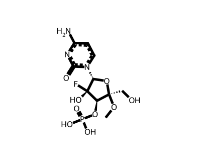 CO[C@]1(CO)O[C@@H](n2ccc(N)nc2=O)[C@@](O)(F)[C@@H]1OP(=O)(O)O